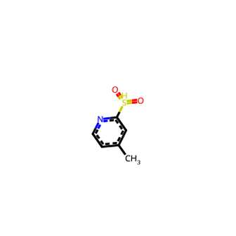 Cc1ccnc([SH](=O)=O)c1